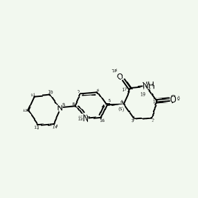 O=C1CC[C@@H](c2ccc(N3CC[CH]CC3)nc2)C(=O)N1